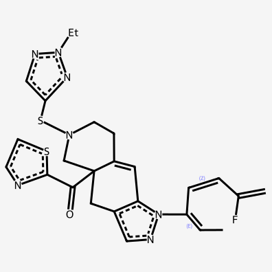 C=C(F)/C=C\C(=C/C)n1ncc2c1C=C1CCN(Sc3cnn(CC)n3)CC1(C(=O)c1nccs1)C2